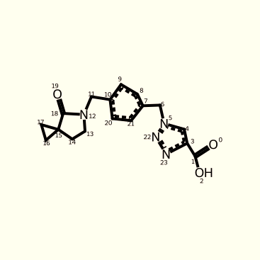 O=C(O)c1cn(Cc2ccc(CN3CCC4(CC4)C3=O)cc2)nn1